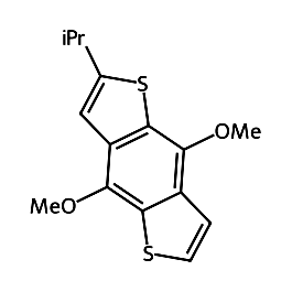 COc1c2cc(C(C)C)sc2c(OC)c2ccsc12